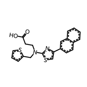 O=C(O)CCN(Cc1cccs1)c1nc(-c2ccc3ccccc3c2)cs1